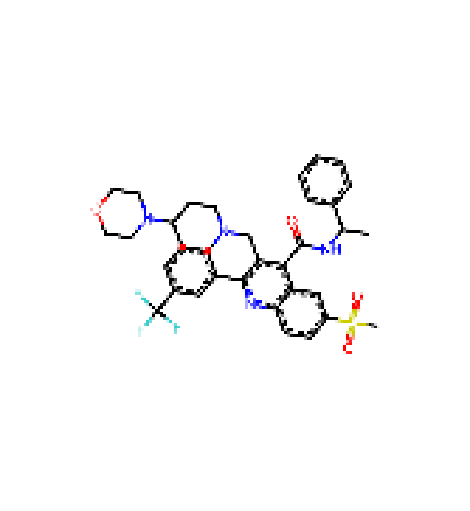 CC(NC(=O)c1c(CN2CCC(N3CCOCC3)CC2)c(-c2cccc(C(F)(F)F)c2)nc2ccc(S(C)(=O)=O)cc12)c1ccccc1